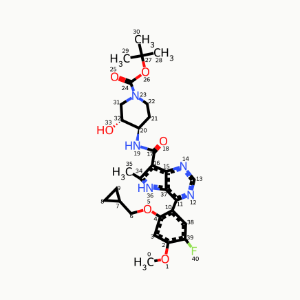 COc1cc(OCC2CC2)c(-c2ncnc3c(C(=O)N[C@@H]4CCN(C(=O)OC(C)(C)C)C[C@H]4O)c(C)[nH]c23)cc1F